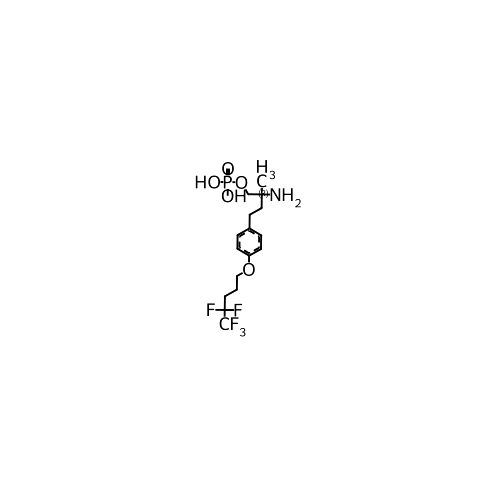 C[C@@](N)(CCc1ccc(OCCCC(F)(F)C(F)(F)F)cc1)COP(=O)(O)O